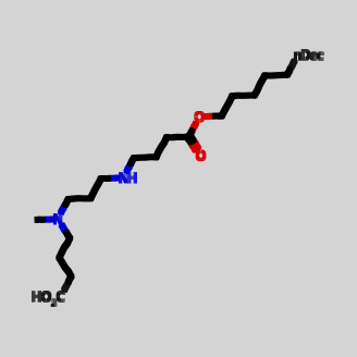 CCCCCCCCCCCCCCCOC(=O)CCCNCCCN(C)CCCC(=O)O